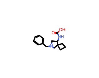 O=C(O)NC1CN(Cc2ccccc2)CC12CCC2